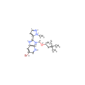 Cn1nccc1-c1nc2cc(Br)cnc2n1COCC[Si](C)(C)C